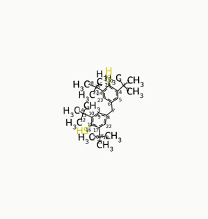 CC(C)(C)c1cc(Cc2cc(C(C)(C)C)c(S)c(C(C)(C)C)c2)cc(C(C)(C)C)c1S